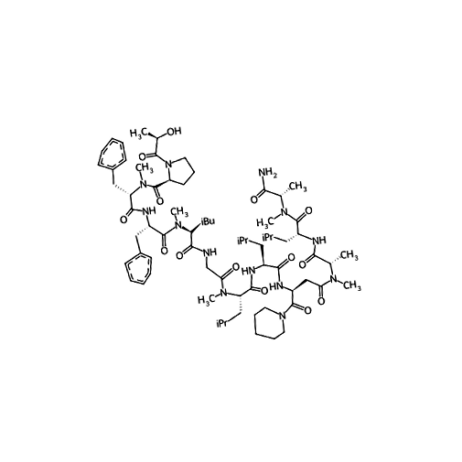 CC[C@H](C)[C@@H](C(=O)NCC(=O)N(C)[C@@H](CC(C)C)C(=O)N[C@@H](CC(C)C)C(=O)N[C@@H](CC(=O)N(C)[C@@H](C)C(=O)N[C@H](CC(C)C)C(=O)N(C)[C@@H](C)C(N)=O)C(=O)N1CCCCC1)N(C)C(=O)[C@H](Cc1ccccc1)NC(=O)[C@H](Cc1ccccc1)N(C)C(=O)[C@@H]1CCCN1C(=O)[C@@H](C)O